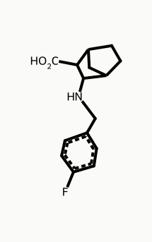 O=C(O)C1C2CCC(C2)C1NCc1ccc(F)cc1